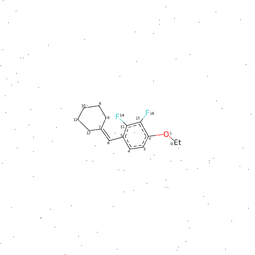 CCOc1ccc(C=C2CCCCC2)c(F)c1F